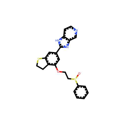 [O-][S+](CCOc1cc(-c2nc3cnccc3[nH]2)cc2c1CCS2)c1ccccc1